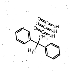 CC(C)(c1ccccc1)c1ccccc1.N=C=O.N=C=O.N=C=O